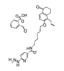 C=CCc1c(OCCCCCCNC(=O)c2ccc(NN)nc2)ccc2c1CCCC2=O.O=Cc1ccccc1S(=O)(=O)O